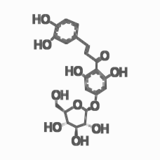 O=C(/C=C/c1ccc(O)c(O)c1)c1c(O)cc(O[C@@H]2O[C@H](CO)[C@@H](O)[C@H](O)[C@H]2O)cc1O